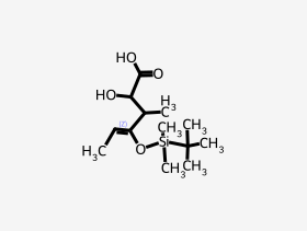 C/C=C(\O[Si](C)(C)C(C)(C)C)C(C)C(O)C(=O)O